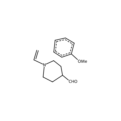 C=CN1CCC(C=O)CC1.COc1ccccc1